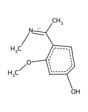 C/N=C(/C)c1ccc(O)cc1OC